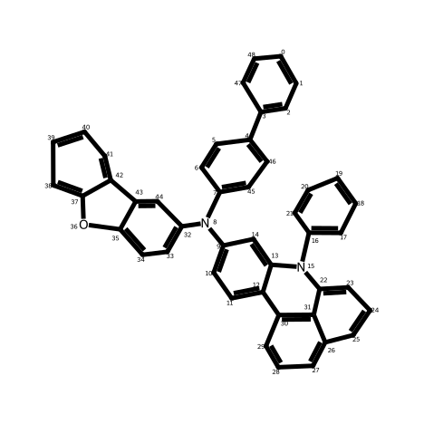 c1ccc(-c2ccc(N(c3ccc4c(c3)N(c3ccccc3)c3cccc5cccc-4c35)c3ccc4oc5ccccc5c4c3)cc2)cc1